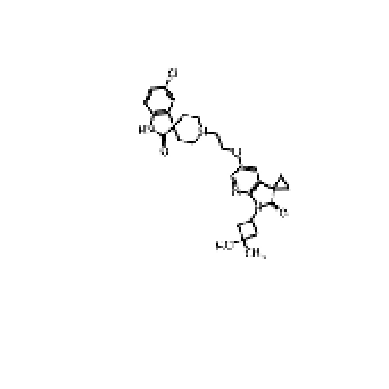 CC1(O)CC(N2C(=O)C3(CC3)c3cc(OCCN4CCC5(CC4)C(=O)Nc4ccc(Cl)cc45)cnc32)C1